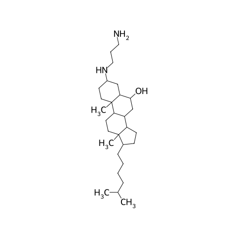 CC(C)CCCCC1CCC2C3CC(O)C4CC(NCCCN)CCC4(C)C3CCC12C